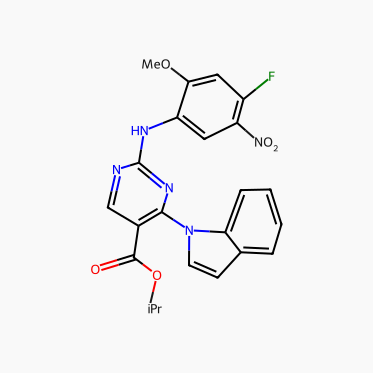 COc1cc(F)c([N+](=O)[O-])cc1Nc1ncc(C(=O)OC(C)C)c(-n2ccc3ccccc32)n1